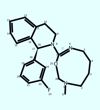 CN1CCCC/N=C(/N2CCc3ccccc3[C@@H]2c2cccc(F)c2)OC1